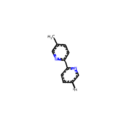 [2H]c1ccc(-c2ccc(C)cn2)nc1